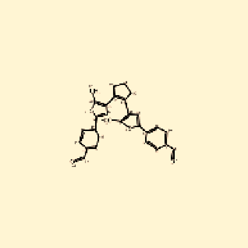 Cc1sc(-c2ccc(C=O)cc2)cc1C1=C(c2cc(C3C=CC(C=O)=CC3)sc2C)CCC1